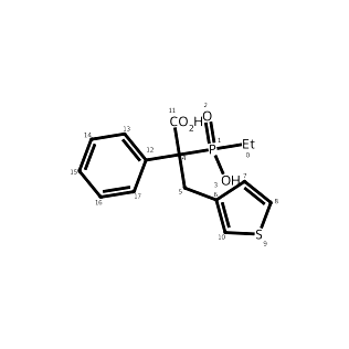 CCP(=O)(O)C(Cc1ccsc1)(C(=O)O)c1ccccc1